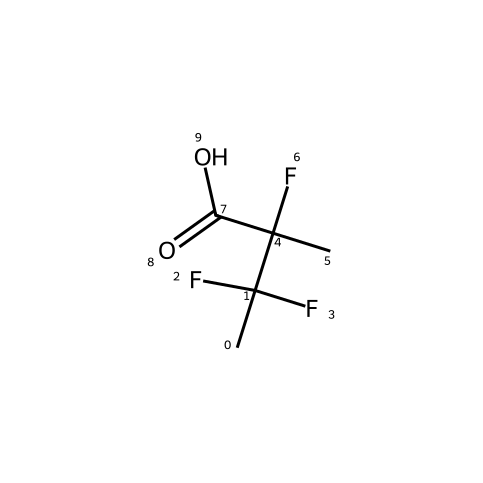 CC(F)(F)C(C)(F)C(=O)O